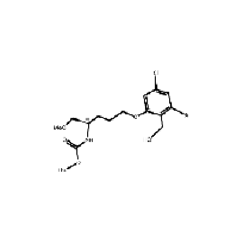 COC[C@@H](CCCOc1cc(Cl)cc(Br)c1CO)NC(=O)OC(C)(C)C